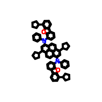 c1ccc(N(c2cc(C3CCCC3)c3ccc4c(N(c5ccccc5)c5cccc6c5oc5c(C7CCCC7)cccc56)cc(C5CCCC5)c5ccc2c3c54)c2cccc3c2oc2c(C4CCCC4)cccc23)cc1